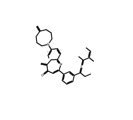 C=C1CCCN(C(/C=C\C2=NC(c3cccc(C(=C=C(C)/C(C)=C\C)CC)c3)=CC(=O)C(=C)C2)=C/C)CCC1